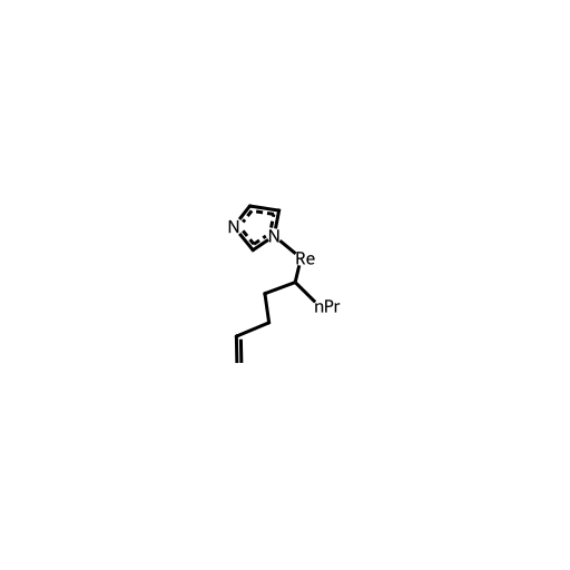 C=CCC[CH](CCC)[Re][n]1ccnc1